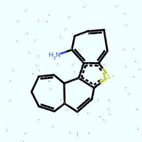 NC1=c2c3c(sc2=CC=CC1)C=CC1C=CCC=CC31